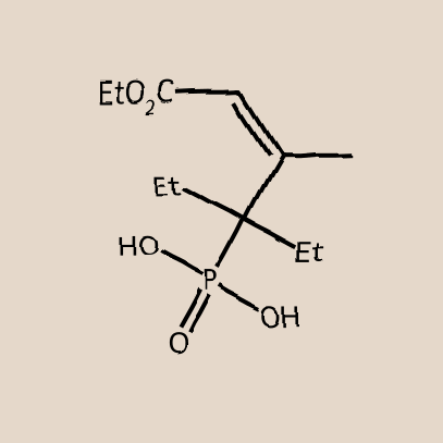 CCOC(=O)C=C(C)C(CC)(CC)P(=O)(O)O